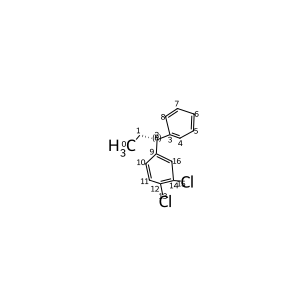 CC[C@H](c1ccccc1)c1ccc(Cl)c(Cl)c1